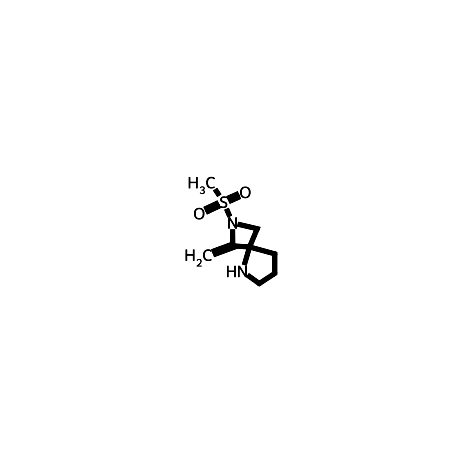 C=C1N(S(C)(=O)=O)CC12CCCN2